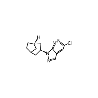 Clc1cc2cnn([C@H]3CC4CC[C@@H](C4)C3)c2nn1